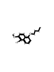 CCCCOc1cccc2c(F)c(OC)ccc12